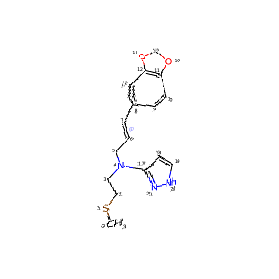 CSCCN(C/C=C/c1ccc2c(c1)OCO2)c1cc[nH]n1